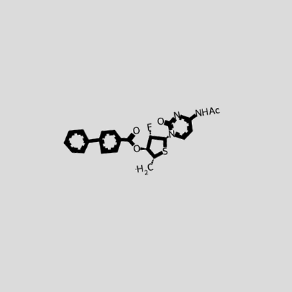 [CH2][C@H]1S[C@@H](n2ccc(NC(C)=O)nc2=O)[C@@H](F)[C@@H]1OC(=O)c1ccc(-c2ccccc2)cc1